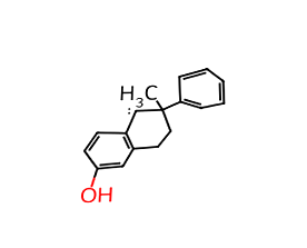 CC1(c2ccccc2)[C]c2ccc(O)cc2CC1